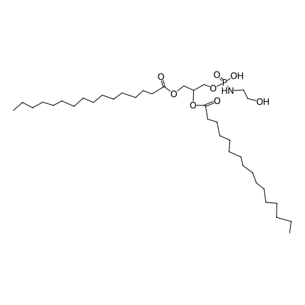 CCCCCCCCCCCCCCCC(=O)OCC(COP(=O)(O)NCCO)OC(=O)CCCCCCCCCCCCCCC